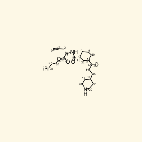 C#CC[C@H](NC(=O)[C@@H]1CCCN(C(=O)CCC2CCNCC2)C1)C(=O)OCCC(C)C